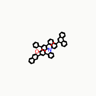 c1ccc(-c2ccc(N(c3ccc(-c4cc5ccccc5c5ccccc45)cc3)c3ccccc3-c3ccc4oc5cc6ccccc6cc5c4c3)c(-c3ccccc3)c2)cc1